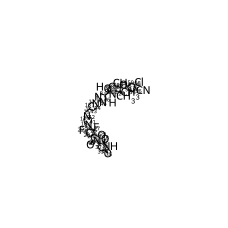 CC1(C)[C@H](NC(=O)c2cnc(N3CCC(CN4CCN(c5c(F)cc6c(c5F)C(=O)N(C5CCC(=O)NC5=O)C6=O)CC4)CC3)nc2)C(C)(C)[C@H]1Oc1ccc(C#N)c(Cl)c1